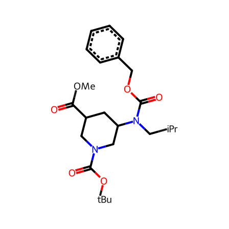 COC(=O)C1CC(N(CC(C)C)C(=O)OCc2ccccc2)CN(C(=O)OC(C)(C)C)C1